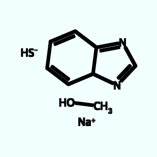 C1=CC2=NC=NC2C=C1.CO.[Na+].[SH-]